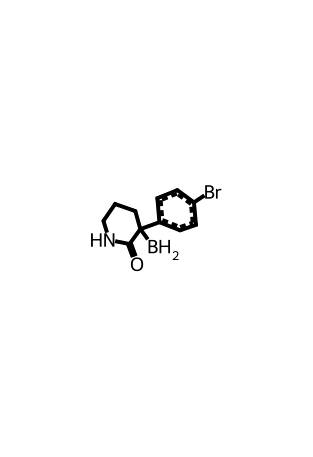 BC1(c2ccc(Br)cc2)CCCNC1=O